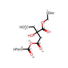 CCCCCCCCCCCOC(=O)C(O)(CC(=O)O)CC(=O)OC(=O)CCCCC